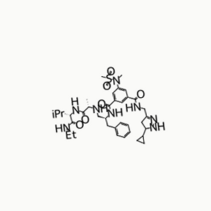 CCNC(=O)[C@@H](NC(=O)[C@H](C)NC[C@H](Cc1ccccc1)NC(=O)c1cc(C(=O)NCC2=NNC(C3CC3)C2)cc(N(C)S(C)(=O)=O)c1)C(C)C